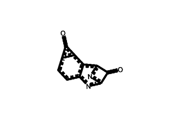 O=C1c2nc1c1c(ccc3c(=O)c31)n2